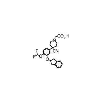 N#CC1(c2ccc(OC(F)F)c(OC3Cc4ccccc4C3)c2)CCN(CC(=O)O)CC1